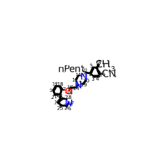 CCCCCC(c1ccc(C#N)c(C)c1)N1CCN(CCOc2ccccc2-c2cccnc2)CC1